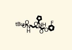 CC(C)(C)OC(=O)NCCCC[C@H](NC(=O)C1CCCC1)C(=O)COc1cccc(F)c1